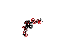 C=C(C)C(=O)OCCOC(=O)CCC12c3ccccc3C(CCC(=O)OCCOC(=O)C(=C)C)(c3ccccc31)c1ccccc12